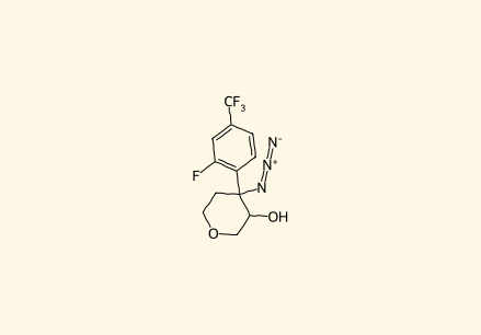 [N-]=[N+]=NC1(c2ccc(C(F)(F)F)cc2F)CCOCC1O